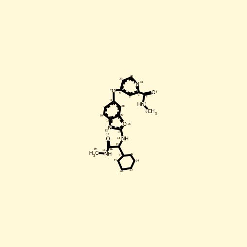 CNC(=O)c1cc(Oc2ccc3nc(NC(C(=O)NC)C4CCCCC4)oc3c2)ccn1